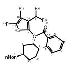 CCCCCCCCC[C@H]1CC[C@H](c2ccccc2C(=O)Oc2sc(F)c(F)c2C(F)F)CC1